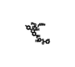 CSCC[C@H](NC(=O)c1cc(NC[C@@H]2C[C@H](SC(=O)c3cccnc3)CN2)ccc1CCc1ccc(C)cc1)C(=O)OC(C)C